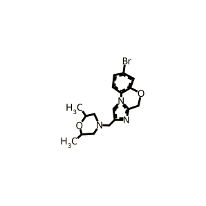 CC1CN(Cc2cn3c(n2)COc2cc(Br)ccc2-3)CC(C)O1